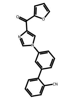 N#Cc1ccccc1-c1cccc(-n2cnc(C(=O)c3ccco3)c2)c1